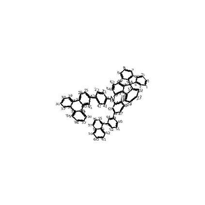 c1ccc(C2(c3ccccc3)c3ccccc3-c3c(N(c4ccc(-c5ccc6c7ccccc7c7ccccc7c6c5)cc4)c4cccc(-c5cccc(-c6cccc7ccccc67)c5)c4)cccc32)cc1